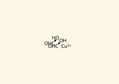 O=[C-]O.O=[C-]O.[Cu+2]